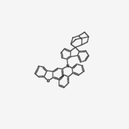 c1ccc(-c2ccccc2N(c2ccc3oc4ccccc4c3c2)c2cccc3c2-c2ccccc2C32C3CC4CC(C3)CC2C4)cc1